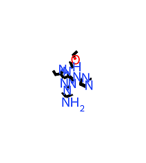 CCOCCn1nc(CC)c2nc(N3CC(N)C3)nc(Nc3ccncn3)c21